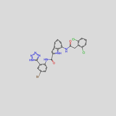 O=C(Cc1c(Cl)cccc1Cl)Nc1cccc2cc(C(=O)Nc3ccc(Br)cc3-c3nnn[nH]3)[nH]c12